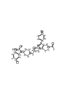 CC(=O)N1CCc2c(c(-c3ccc(Br)cc3)nn2C[C@H](O)CN2CCC(n3c(=O)[nH]c4ccc(Cl)cc43)CC2)C1